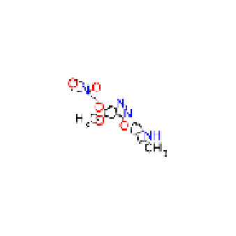 COc1cc2c(Oc3ccc4[nH]c(C)cc4c3)ncnc2cc1OCCC(=O)N1CCOCC1